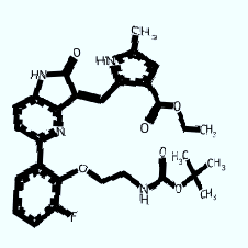 CCOC(=O)c1cc(C)[nH]c1/C=C1\C(=O)Nc2ccc(-c3cccc(F)c3OCCNC(=O)OC(C)(C)C)nc21